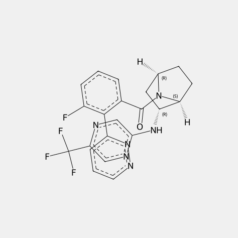 O=C(c1cccc(F)c1-c1cccnn1)N1[C@@H]2CC[C@H]1[C@H](Nc1cnc(C(F)(F)F)cn1)C2